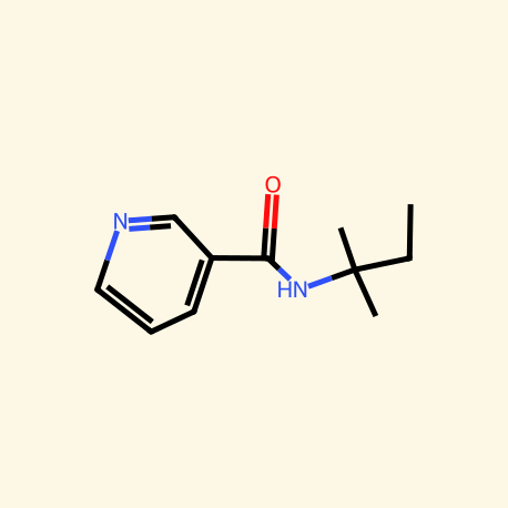 CCC(C)(C)NC(=O)c1cccnc1